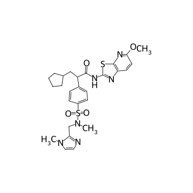 COc1ccc2nc(NC(=O)C(CC3CCCC3)c3ccc(S(=O)(=O)N(C)Cc4nccn4C)cc3)sc2n1